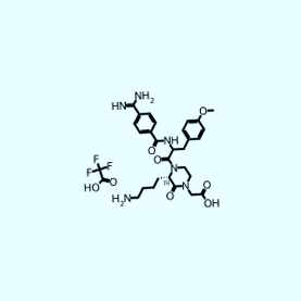 COc1ccc(CC(NC(=O)c2ccc(C(=N)N)cc2)C(=O)N2CCN(CC(=O)O)C(=O)[C@@H]2CCCCN)cc1.O=C(O)C(F)(F)F